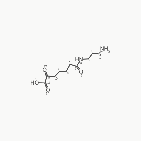 NSCCNC(=O)CCCCC(=O)C(=O)O